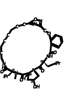 CC(C)C[C@H]1NC(=O)c2ccccc2OCc2noc(n2)CCCCCCCCNC(=O)[C@H](C(C)C)N(C)C(=O)[C@H]2C[C@H](O)CN2C1=O